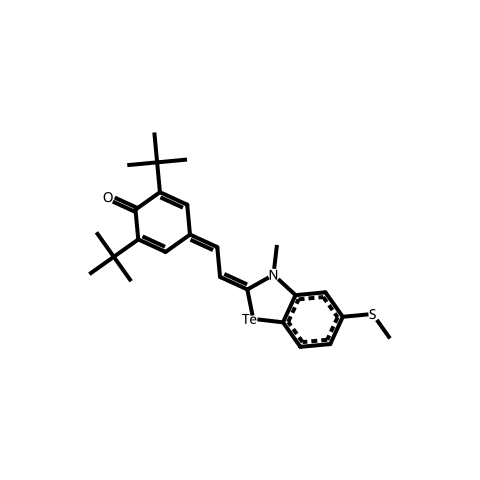 CSc1ccc2c(c1)N(C)C(=CC=C1C=C(C(C)(C)C)C(=O)C(C(C)(C)C)=C1)[Te]2